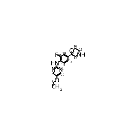 CCOc1cnc(Nc2ccc([C@@H]3CNCCO3)cc2F)nc1